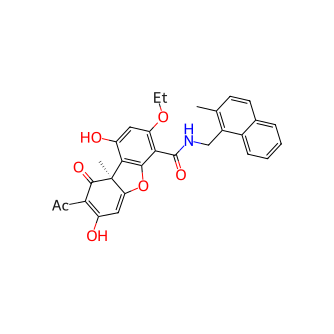 CCOc1cc(O)c2c(c1C(=O)NCc1c(C)ccc3ccccc13)OC1=CC(O)=C(C(C)=O)C(=O)[C@]12C